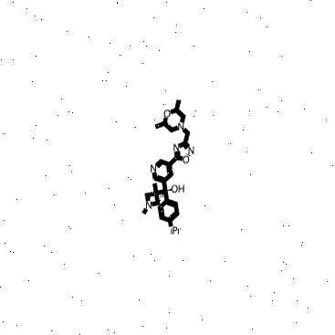 CC1CN(Cc2noc(-c3cncc([C@@](O)(c4ccc(C(C)C)cc4)C4(C)CN(C)C4)c3)n2)CC(C)O1